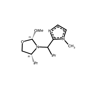 CO[C@H]1OC[C@@H](C(C)C)N1C(c1nccn1C)C(C)C